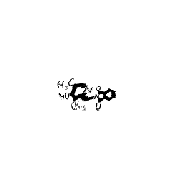 Cc1cnc(CN2C(=O)c3ccccc3C2=O)c(C)c1O